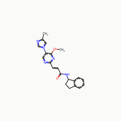 COc1nc(/C=C/C(=O)NC2CCc3ccccc32)ncc1-n1cnc(C)c1